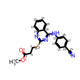 COC(=O)CCSc1nc(Nc2ccc(C#N)cc2)c2ccccc2n1